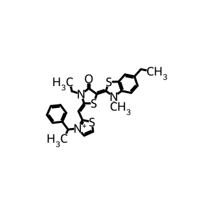 CCc1ccc2c(c1)S/C(=c1/s/c(=C\c3scc[n+]3C(C)c3ccccc3)n(CC)c1=O)N2C